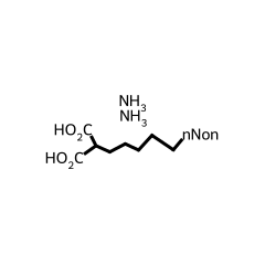 CCCCCCCCCCCCCCC(C(=O)O)C(=O)O.N.N